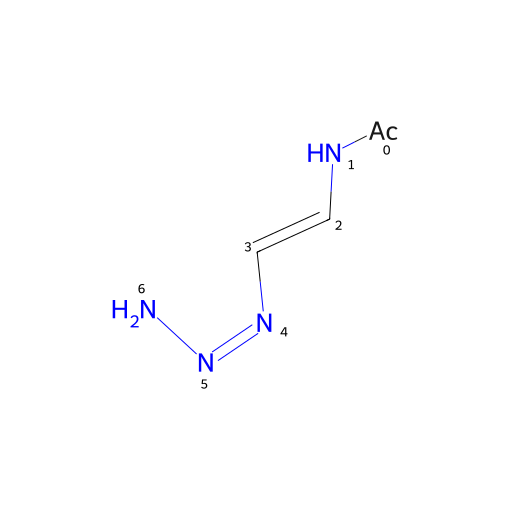 CC(=O)N/C=C/N=N\N